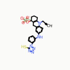 C#CCN1C2=C(Cc3cc(Nc4cccc(-n5nnnc5S)c4)ccc31)C(O[Cl+3]([O-])([O-])[O-])CCC2